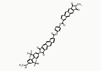 CNc1ccc(-c2ccc(N3C(=O)c4cc5cc6ccc(C(=O)Oc7ccc(OC(=O)c8ccc9cc%10cc%11c(cc%10cc9c8)C(=O)N(C)C%11=O)cc7)cc6cc5cc4C3=O)cc2C(F)(F)F)c(C(F)(F)F)c1